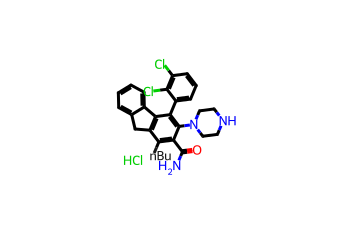 CCCCc1c2c(c(-c3cccc(Cl)c3Cl)c(N3CCNCC3)c1C(N)=O)-c1ccccc1C2.Cl